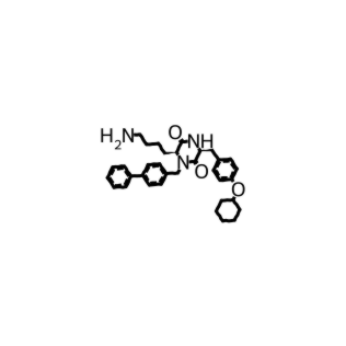 NCCCC[C@H]1C(=O)N[C@@H](Cc2ccc(OC3CCCCC3)cc2)C(=O)N1Cc1ccc(-c2ccccc2)cc1